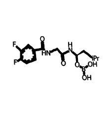 CC(C)C[C@H](NC(=O)CNC(=O)c1ccc(F)c(F)c1)OB(O)O